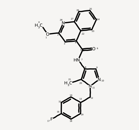 COc1cc(C(=O)Nc2cnn(Cc3ccc(F)cc3)c2C)c2ccccc2n1